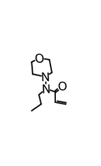 C=CC(=O)N(CCC)N1CCOCC1